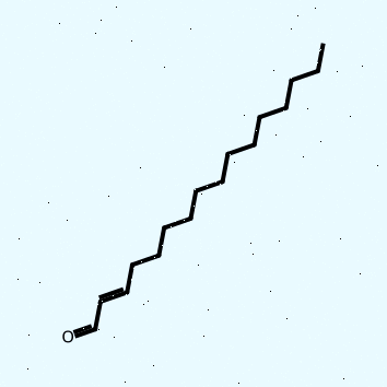 CCCCCCCCCCCCC/C=C/C=O